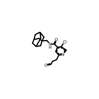 O=CCCc1cc(C(=O)NCC23CC4CC(CC(C4)C2)C3)c(Cl)cn1